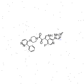 C=N/C=C\N(N)c1ncc(F)c2c(C(=O)C(=O)N3CCN(c4ccnnc4-c4ccccc4)CC3)c[nH]c12